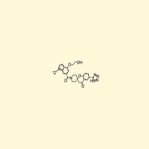 O=C1CC2(CCN(C(=O)c3cc(OCCO)c4ccn(C5CC5)c4c3)CC2)Oc2ccc(-c3nnn[nH]3)cc21